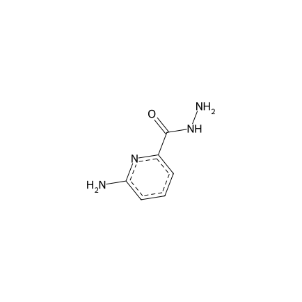 NNC(=O)c1cccc(N)n1